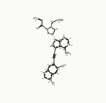 C=CC(=O)N1C[C@@H](n2nc(C#Cc3cc4ncn(CC)c4cc3Cl)c3c(N)ncnc32)C[C@@H]1COC